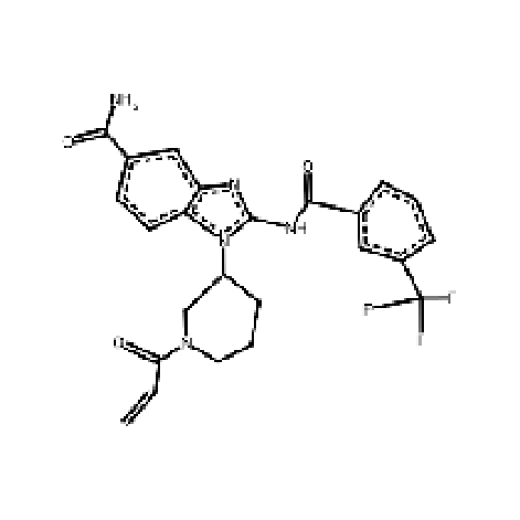 C=CC(=O)N1CCCC(n2c(NC(=O)c3cccc(C(F)(F)F)c3)nc3cc(C(N)=O)ccc32)C1